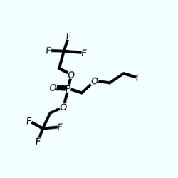 O=P(COCCI)(OCC(F)(F)F)OCC(F)(F)F